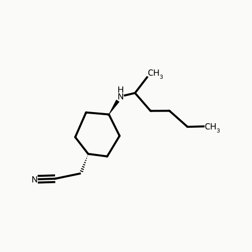 CCCCC(C)N[C@H]1CC[C@H](CC#N)CC1